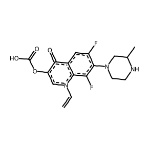 C=Cn1cc(OC(=O)O)c(=O)c2cc(F)c(N3CCNC(C)C3)c(F)c21